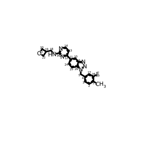 Cc1ccc(Cn2nnc3cc(-c4ccnc(NCC5COC5)n4)ccc32)cc1F